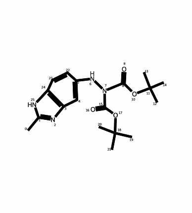 Cc1nc2cc(NN(C(=O)OC(C)(C)C)C(=O)OC(C)(C)C)ccc2[nH]1